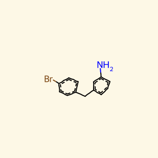 Nc1cccc(Cc2ccc(Br)cc2)c1